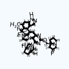 Cc1cc2[nH]ncc2c(-c2cc3nc(OC[C@@]45CCCN4C[C@H](F)C5)nc(N4C[C@H]5CC[C@@H](C4)N5)c3n3ccnc23)c1C(F)(F)F